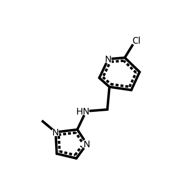 Cn1ccnc1NCc1ccc(Cl)nc1